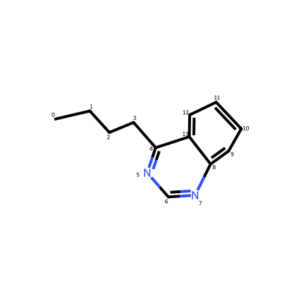 CCCCc1ncnc2ccccc12